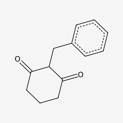 O=C1CCCC(=O)C1Cc1ccccc1